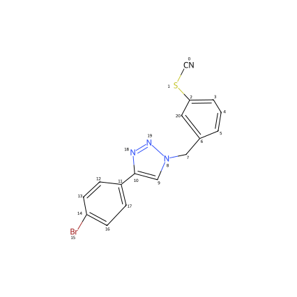 N#CSc1cccc(Cn2cc(-c3ccc(Br)cc3)nn2)c1